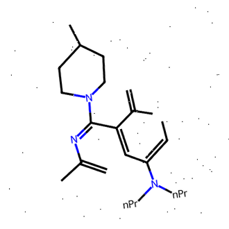 C=C(C)\N=C(/C(=C/C(=C\C)N(CCC)CCC)C(=C)C)N1CCC(C)CC1